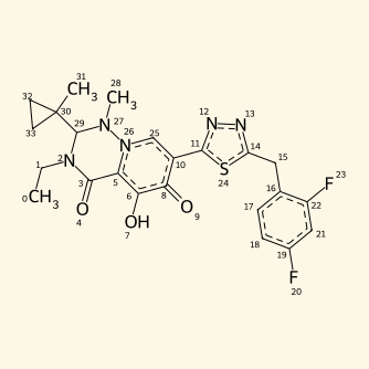 CCN1C(=O)c2c(O)c(=O)c(-c3nnc(Cc4ccc(F)cc4F)s3)cn2N(C)C1C1(C)CC1